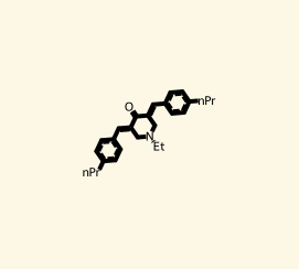 CCCc1ccc(/C=C2\CN(CC)C/C(=C\c3ccc(CCC)cc3)C2=O)cc1